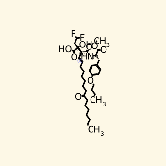 CCCCCCCC(=O)CCCCCC/C=C/[C@H](C(=O)N[C@@H](Cc1ccc(OCCCC)cc1)C(=O)OC)[C@@](O)(CC(F)F)C(=O)O